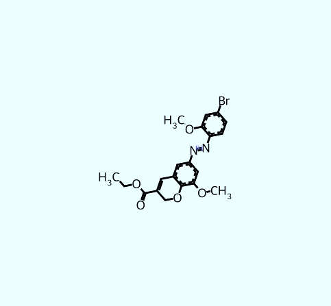 CCOC(=O)C1=Cc2cc(/N=N/c3ccc(Br)cc3OC)cc(OC)c2OC1